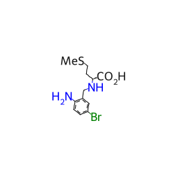 CSCC[C@H](NCc1cc(Br)ccc1N)C(=O)O